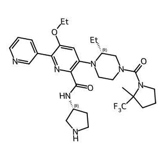 CCOc1cc(N2CCN(C(=O)N3CCCC3(C)C(F)(F)F)C[C@H]2CC)c(C(=O)N[C@@H]2CCNC2)nc1-c1cccnc1